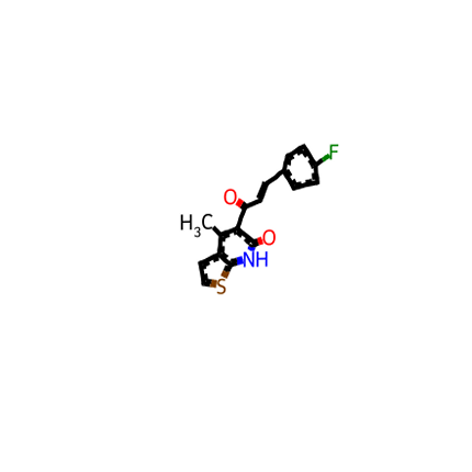 Cc1c(C(=O)C=Cc2ccc(F)cc2)c(=O)[nH]c2sccc12